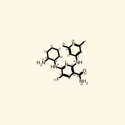 Cc1cc(Nc2nc(NC3CCCCC3N)c(F)cc2C(N)=O)cc(C)n1